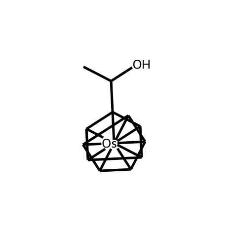 CC(O)[C]12[CH]3[CH]4[CH]5[CH]1[Os]45321678[CH]2[CH]1[CH]6[CH]7[CH]28